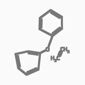 C=C.c1ccc(Oc2ccccc2)cc1